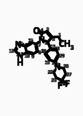 CCC1=CC(=O)N(c2ccc3[nH]cnc3c2)C1c1ccc(N2CCC(F)(F)CC2)cc1